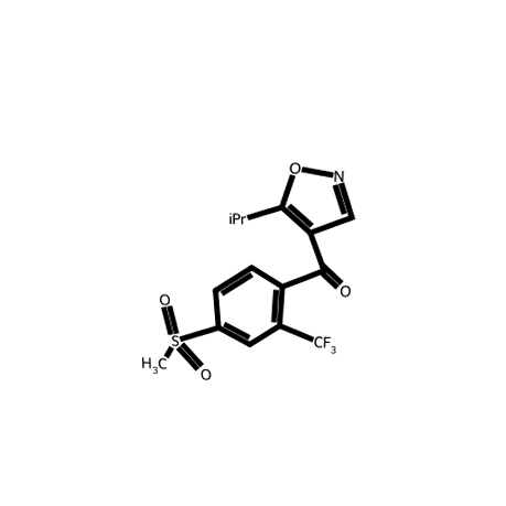 CC(C)c1oncc1C(=O)c1ccc(S(C)(=O)=O)cc1C(F)(F)F